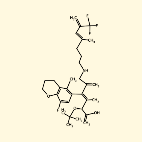 C=C(CNCCC/C(C)=C/C(=C)C(F)(F)F)/C(=C(\C)[C@H](OC(C)(C)C)C(=C)O)c1cc(F)c2c(c1C)CCCO2